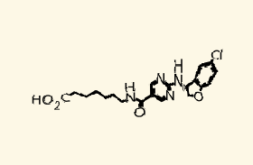 O=C(O)CCCCCCNC(=O)c1cnc(N[C@H]2COc3ccc(Cl)cc32)nc1